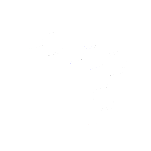 COc1ccc(-c2cccc3cnc(Nc4ccc(C)c(Br)c4)nc23)cc1